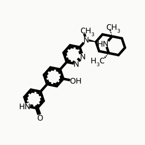 CN(c1ccc(-c2ccc(-c3cc[nH]c(=O)c3)cc2O)nn1)[C@@H]1C[C@]2(C)CCC[C@](C)(C1)N2